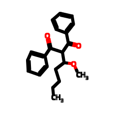 CCCCC(OC)C(C(=O)c1ccccc1)C(=O)c1ccccc1